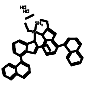 CC.CCC1=Cc2c(-c3cccc4ccccc34)cccc2[CH]1[Zr]([SiH3])([CH2]C)[CH]1C(CC)=Cc2c(-c3cccc4ccccc34)cccc21.Cl.Cl